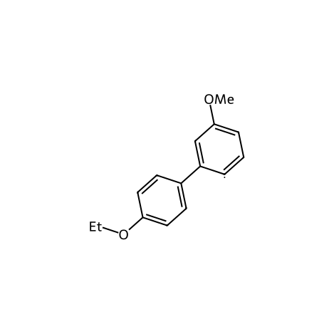 CCOc1ccc(-c2[c]ccc(OC)c2)cc1